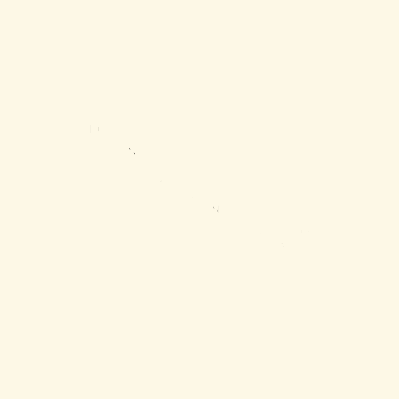 CCOC(=O)N1CCC2(CC(N3CCC(C(=O)CC)CC3)C2)C1